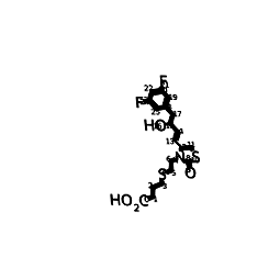 O=C(O)CCCSCCN1C(=O)SC[C@@H]1C=C[C@@H](O)Cc1cc(F)cc(F)c1